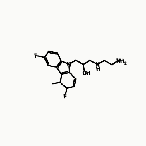 CC1c2c(n(CC(O)CNCCN)c3ccc(F)cc23)C=CC1F